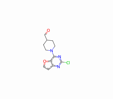 O=CC1CCN(c2nc(Cl)nc3ccoc23)CC1